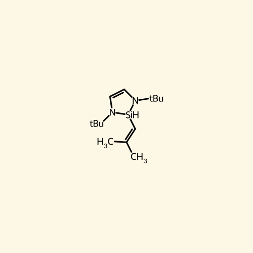 CC(C)=C[SiH]1N(C(C)(C)C)C=CN1C(C)(C)C